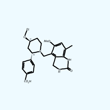 CCO[C@H]1CCN(Cc2c(OC)cc(C)c3c2CNC(=O)N3)[C@H](c2ccc(C(=O)O)cc2)C1